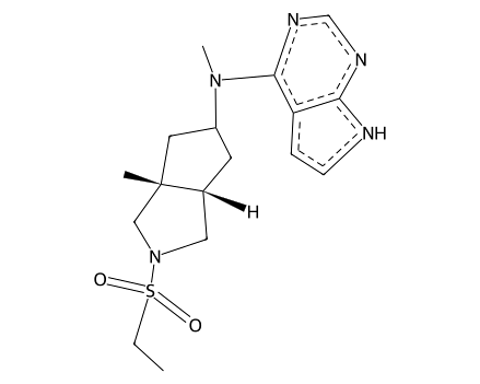 CCS(=O)(=O)N1C[C@H]2CC(N(C)c3ncnc4[nH]ccc34)C[C@@]2(C)C1